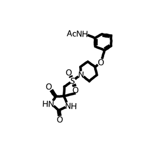 CC(=O)Nc1cccc(OC2CCN(S(=O)(=O)CC3(C)NC(=O)NC3=O)CC2)c1